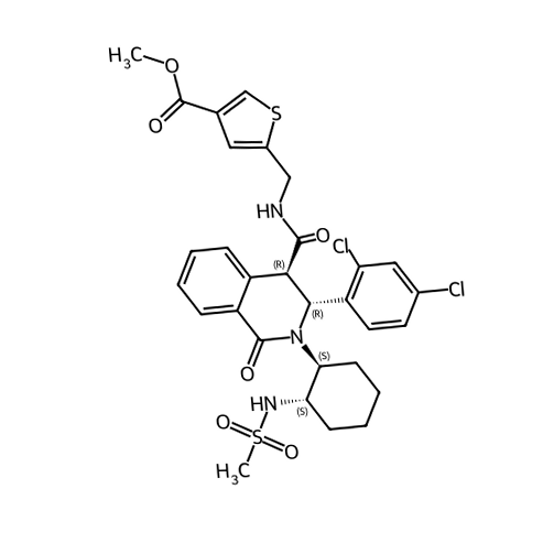 COC(=O)c1csc(CNC(=O)[C@@H]2c3ccccc3C(=O)N([C@H]3CCCC[C@@H]3NS(C)(=O)=O)[C@H]2c2ccc(Cl)cc2Cl)c1